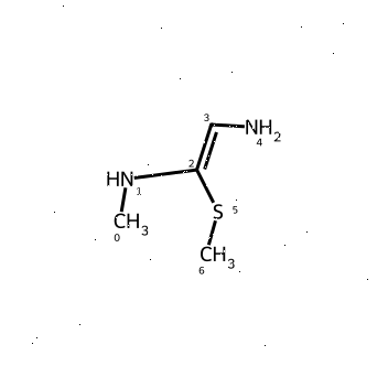 CN/C(=C/N)SC